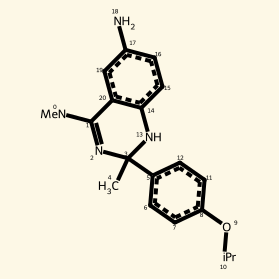 CNC1=NC(C)(c2ccc(OC(C)C)cc2)Nc2ccc(N)cc21